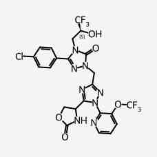 O=C1NC(c2nc(Cn3nc(-c4ccc(Cl)cc4)n(C[C@H](O)C(F)(F)F)c3=O)nn2-c2ncccc2OC(F)(F)F)CO1